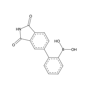 O=C1NC(=O)c2cc(-c3ccccc3B(O)O)ccc21